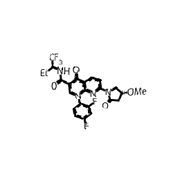 CCC(NC(=O)c1cn(-c2ccc(F)cc2F)c2nc(N3C[C@@H](OC)CC3=O)ccc2c1=O)C(F)(F)F